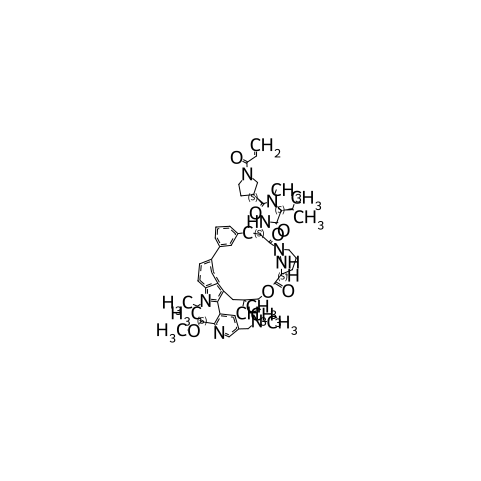 C=CC(=O)N1CC[C@H](C(=O)N(C)[C@H](C(=O)N[C@H]2Cc3cccc(c3)-c3ccc4c(c3)c(c(-c3cc(CN(C)C)cnc3[C@H](C)OC)n4CC)CC(C)(C)COC(=O)[C@@H]3CCCN(N3)C2=O)C(C)C)C1